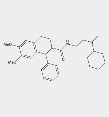 COc1cc2c(cc1OC)C(c1ccccc1)N(C(=O)NCCN(C)C1CCCCC1)CC2